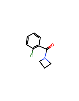 O=C(c1ccc[c]c1Cl)N1CCC1